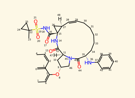 C=C(/C=C\C)/C(=C\C)O[C@@H]1C[C@H]2C(=O)N[C@]3(C(=O)NS(=O)(=O)C4(C)CC4)C[C@H]3/C=C\CCCCC[C@H](Nc3ccccc3)C(=O)N2C1